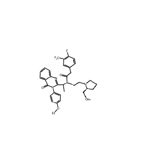 CCOc1ccc(-n2c(C(C)N(CCN3CCC[C@H]3CO)C(=O)Cc3ccc(F)c(C(F)(F)F)c3)nc3ccccc3c2=O)cc1